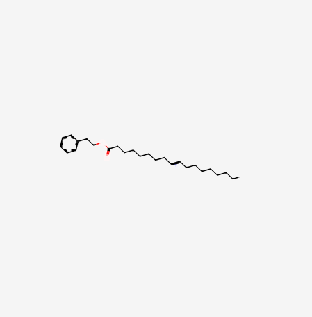 CCCCCCCC/C=C/CCCCCCCC(=O)OCCc1ccccc1